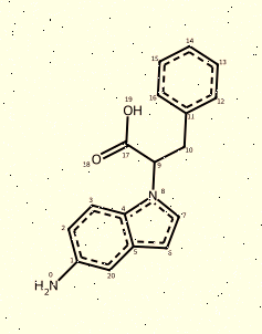 Nc1ccc2c(ccn2C(Cc2ccccc2)C(=O)O)c1